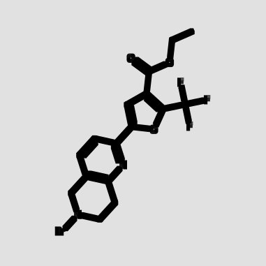 CCOC(=O)c1cc(-c2ccc3c(n2)CCN(Br)C3)oc1C(F)(F)F